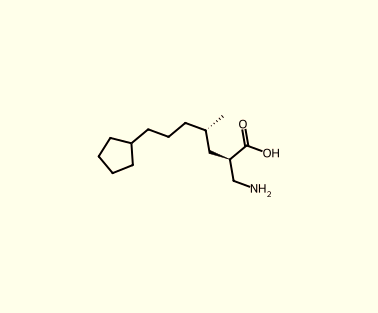 C[C@@H](CCCC1CCCC1)C[C@H](CN)C(=O)O